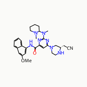 COc1cc(NC(=O)c2cc(N3CCN[C@@H](CC#N)C3)nc(N(C)C3CCCCN3C)n2)c2ccccc2c1